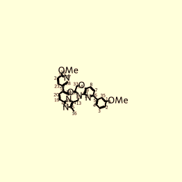 COc1cccc(-c2ccc3c(n2)N(Cc2c(C)nc4ccc(-c5ccc(OC)nc5)cn24)C(=O)CO3)c1